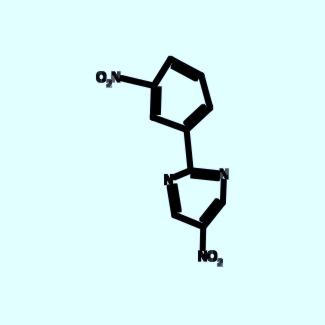 O=[N+]([O-])c1cnc(-c2cccc([N+](=O)[O-])c2)nc1